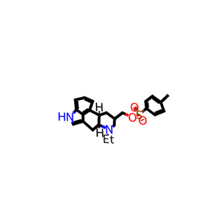 CCN1CC(COS(=O)(=O)c2ccc(C)cc2)C[C@@H]2c3cccc4[nH]cc(c34)C[C@H]21